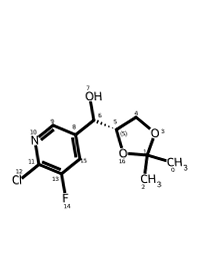 CC1(C)OC[C@@H](C(O)c2cnc(Cl)c(F)c2)O1